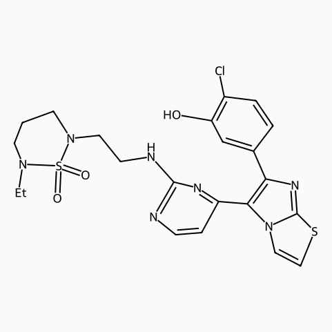 CCN1CCCN(CCNc2nccc(-c3c(-c4ccc(Cl)c(O)c4)nc4sccn34)n2)S1(=O)=O